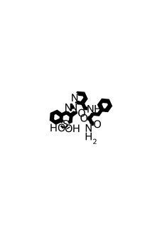 NC(=O)C(=O)C(Cc1ccccc1)NC(=O)c1cccnc1-n1cc2c(n1)-c1ccccc1S(O)(O)C2